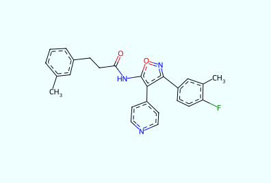 Cc1cccc(CCC(=O)Nc2onc(-c3ccc(F)c(C)c3)c2-c2ccncc2)c1